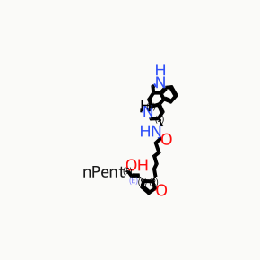 CCCCC[C@H](O)/C=C/[C@H]1C=CC(=O)[C@@H]1CCCCCCC(=O)NC[C@@H]1C=C2c3cccc4c3C(CN4)C[C@H]2N(C)C1